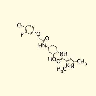 Cc1cc(C(=O)NC2CCC(NC(=O)COc3ccc(Cl)c(F)c3)C[C@@H]2O)n(C)n1